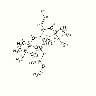 COC(=O)CCC[C@H](O[Si](C)(C)C(C)(C)C)[C@@H](/C=C/I)O[Si](C)(C)C(C)(C)C